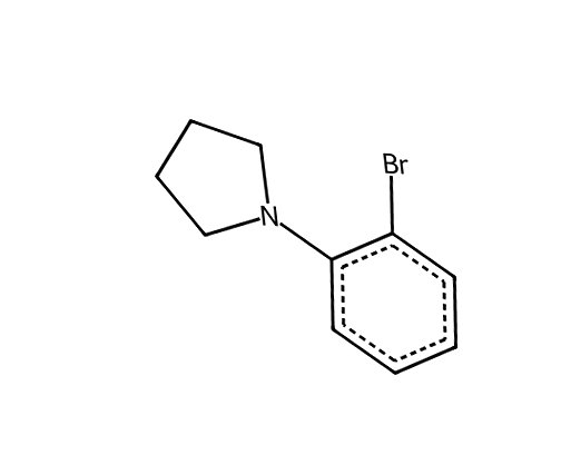 Brc1ccccc1N1CCCC1